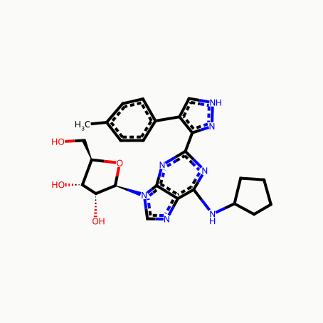 Cc1ccc(-c2c[nH]nc2-c2nc(NC3CCCC3)c3ncn([C@@H]4O[C@H](CO)[C@@H](O)[C@H]4O)c3n2)cc1